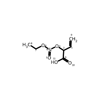 C=CC(O[Si](=O)OCC)C(=O)O